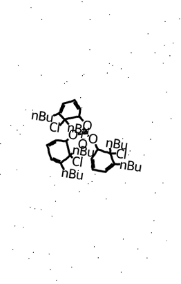 CCCCC1=CC=CC(OP(=O)(OC2C=CC=C(CCCC)C2(Cl)CCCC)OC2C=CC=C(CCCC)C2(Cl)CCCC)C1(Cl)CCCC